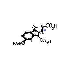 COc1ccc2c(c1)C(C(=O)O)C(/C=C/C(=O)O)N2C(C)=O